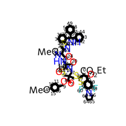 CCOC(=O)c1c(SCC2(C(=O)OCc3ccc(OC)cc3)CN3C(=O)C(NC(=O)C(=NOC)c4csc(NC(c5ccccc5)(c5ccccc5)c5ccccc5)n4)[C@H]3[S+]([O-])C2)sc2c(F)c(N3CCCC3)c(F)cc2c1=O